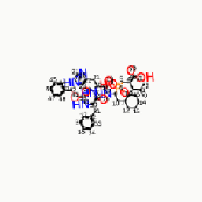 CC(C)CC(CP(=O)(O)C(CC1CCCCC1)NC(=O)[C@H](Cc1c[nH]cn1)NC(=O)[C@H](Cc1ccccc1)NC(=O)OCc1ccccc1)C(=O)O